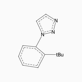 CC(C)(C)c1ccccc1-n1ccnn1